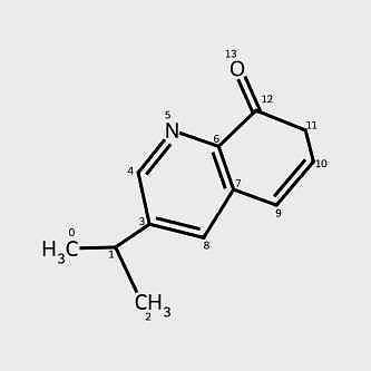 CC(C)c1cnc2c(c1)C=CCC2=O